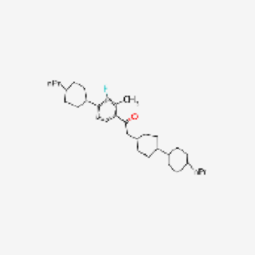 CCCC1CCC(c2ccc(C(=O)CC3CCC(C4CCC(CCC)CC4)CC3)c(C)c2F)CC1